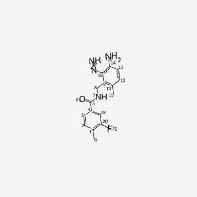 Cc1ccc(C(=O)NCc2c(C)ccc(N)c2N=N)cc1F